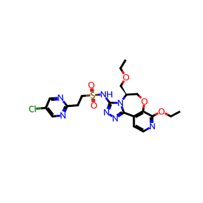 CCOC[C@H]1COc2c(ccnc2OCC)-c2nnc(NS(=O)(=O)CCc3ncc(Cl)cn3)n21